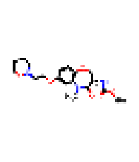 CN1C(=O)[C@@H](NC(=O)OC(C)(C)C)COc2ccc(OCCN3CCCCO3)cc21